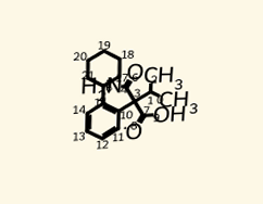 CC(C)C(C(N)=O)(C(=O)O)c1[c]cccc1C1CCCCC1